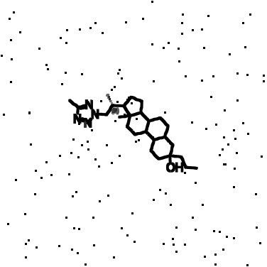 CCCC1(O)CCC2C(CCC3C2CCC2(C)C3CCC2[C@@H](C)Cn2nnc(C)n2)C1